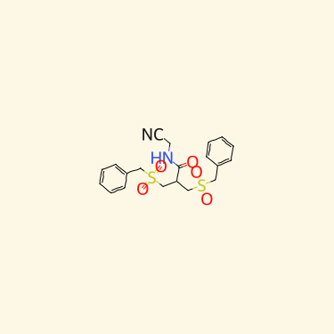 N#CCNC(=O)C(CS(=O)(=O)Cc1ccccc1)CS(=O)(=O)Cc1ccccc1